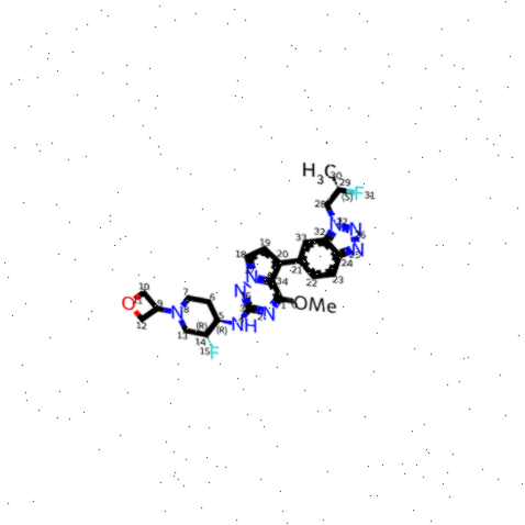 COc1nc(N[C@@H]2CCN(C3COC3)C[C@H]2F)nn2ccc(-c3ccc4nnn(C[C@H](C)F)c4c3)c12